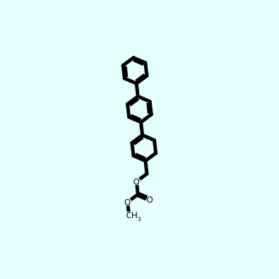 COC(=O)OCC1=CC=C(c2ccc(-c3ccccc3)cc2)CC1